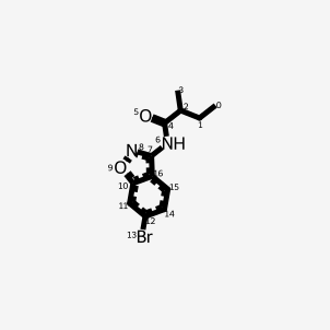 CCC(C)C(=O)Nc1noc2cc(Br)ccc12